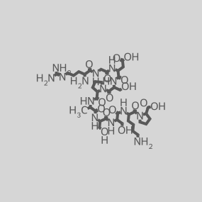 CC(NC(=O)C1CCCN1C(=O)C(CO)NC(=O)C(CC(=O)O)NC(=O)CNC(=O)C(N)CCCN=C(N)N)C(=O)NC(CO)C(=O)NC(CO)C(=O)NC(CCCCN)C(=O)N1CCCC1C(=O)O